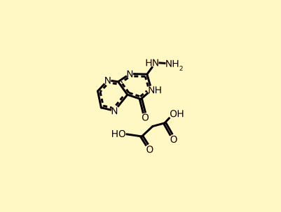 NNc1nc2nccnc2c(=O)[nH]1.O=C(O)CC(=O)O